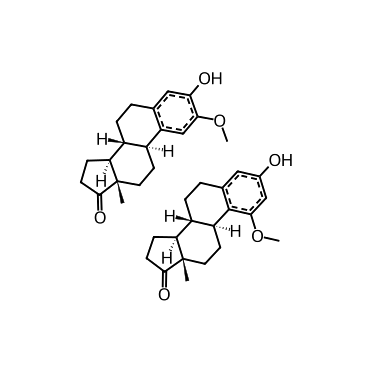 COc1cc(O)cc2c1[C@H]1CC[C@]3(C)C(=O)CC[C@H]3[C@@H]1CC2.COc1cc2c(cc1O)CC[C@@H]1[C@@H]2CC[C@]2(C)C(=O)CC[C@@H]12